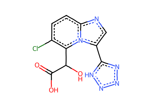 O=C(O)C(O)c1c(Cl)ccc2ncc(-c3nnn[nH]3)n12